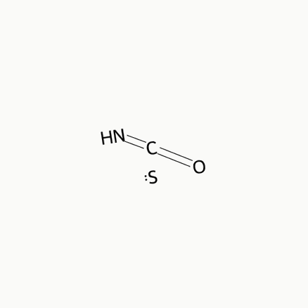 N=C=O.[S]